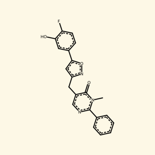 Cn1c(-c2ccccc2)ncc(Cc2cc(-c3ccc(F)c(O)c3)on2)c1=O